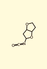 O=C=NC1CC2OCCC2O1